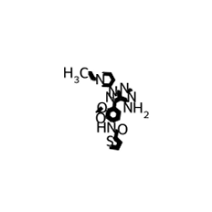 CC=CN1CCC[C@@H](n2nc(-c3ccc(NC(=O)c4cccs4)c4c3OCO4)c3c(N)ncnc32)C1